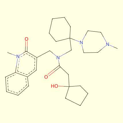 CN1CCN(C2(CN(Cc3cc4ccccc4n(C)c3=O)C(=O)CC3(O)CCCC3)CCCCC2)CC1